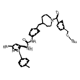 Cc1ccc(-n2nc(C(C)(C)C)cc2NC(=O)Nc2ccc(CC3CCN(C(=O)c4ccc(COC(C)(C)C)cc4)CC3)cc2)cc1